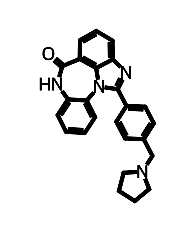 O=C1Nc2ccccc2-n2c(-c3ccc(CN4CCCC4)cc3)nc3cccc1c32